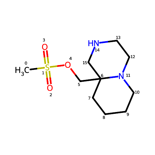 CS(=O)(=O)OCC12CCCCN1CCNC2